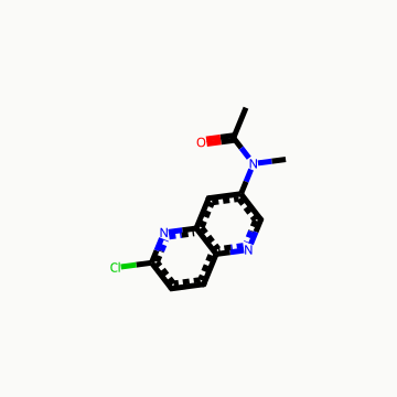 CC(=O)N(C)c1cnc2ccc(Cl)nc2c1